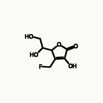 O=C1OC(C(O)CO)C(CF)=C1O